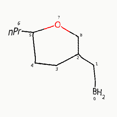 BCC1CCC(CCC)OC1